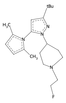 Cc1ccc(C)n1-c1cc(C(C)(C)C)nn1C1CCN(CCF)CC1